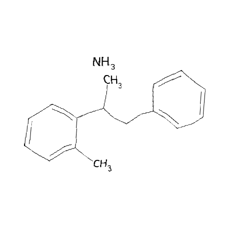 Cc1ccccc1C(C)Cc1ccccc1.N